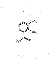 O=C(c1cccc([N+](=O)[O-])c1[N+](=O)[O-])[N+](=O)[O-]